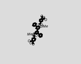 COc1cc(-c2cc(OC)c(OC(=O)c3ccc4c(c3)C(=O)OC4=O)c(-c3ccccc3)c2)cc(-c2ccccc2)c1OC(=O)c1ccc2c(c1)C(=O)OC2=O